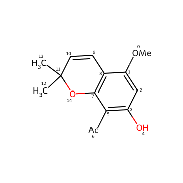 COc1cc(O)c(C(C)=O)c2c1C=CC(C)(C)O2